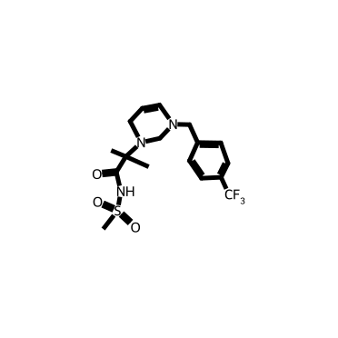 CC(C)(C(=O)NS(C)(=O)=O)N1CC=CN(Cc2ccc(C(F)(F)F)cc2)C1